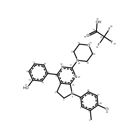 Cc1cc(N2CCc3c(-c4cccc(O)c4)nc(N4CCOCC4)nc32)ccc1Cl.O=C(O)C(F)(F)F